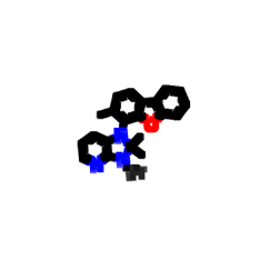 Cc1ccc2c(oc3ccccc32)c1N1c2cccnc2N(C(C)C)C1(C)C